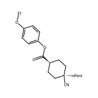 CCCCC[C@]1(C#N)CC[C@@H](C(=O)Oc2ccc(OCC)cc2)CC1